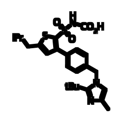 Cc1cn(Cc2ccc(-c3cc(CC(C)C)sc3S(=O)(=O)NC(=O)O)cc2)c(C(C)(C)C)n1